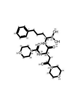 O=C(N[C@@H](CCCc1ccccc1)B(O)O)[C@@H](CC(=O)N1CCOCC1)NC(=O)N1CCOCC1